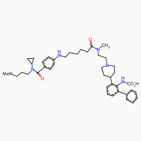 CNCCCN(C(=O)c1ccc(NCCCCCC(=O)N(C)CCN2CCC(c3cccc(-c4ccccc4)c3NC(=O)O)CC2)cc1)C1CC1